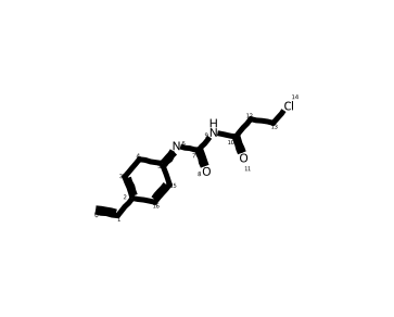 C=CC1=CCC(=NC(=O)NC(=O)CCCl)C=C1